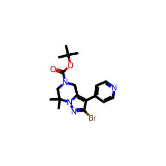 CC(C)(C)OC(=O)N1Cc2c(-c3ccncc3)c(Br)nn2C(C)(C)C1